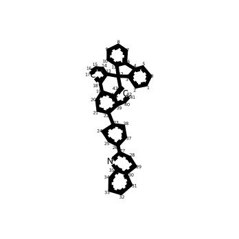 c1ccc2c(c1)-c1ccccc1C21c2ccccc2-c2ccc(-c3ccc(-c4ccc5ccccc5n4)cc3)c3cccc1c23